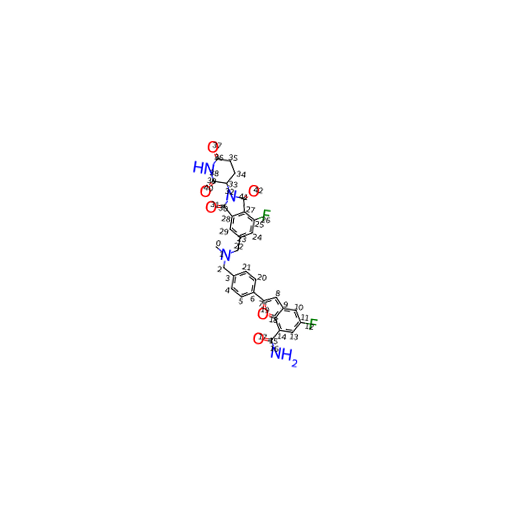 CN(Cc1ccc(-c2cc3cc(F)cc(C(N)=O)c3o2)cc1)Cc1cc(F)c2c(c1)C(=O)N(C1CCC(=O)NC1=O)C2=O